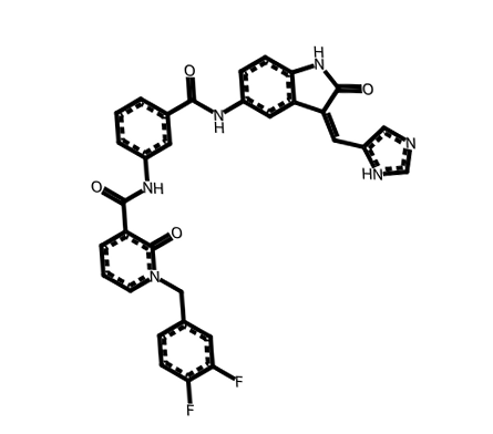 O=C1Nc2ccc(NC(=O)c3cccc(NC(=O)c4cccn(Cc5ccc(F)c(F)c5)c4=O)c3)cc2C1=Cc1cnc[nH]1